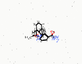 CCO[C@@]1(c2cccc(C(N)=O)c2)[C@@H]2CCC[C@H]1CNC2